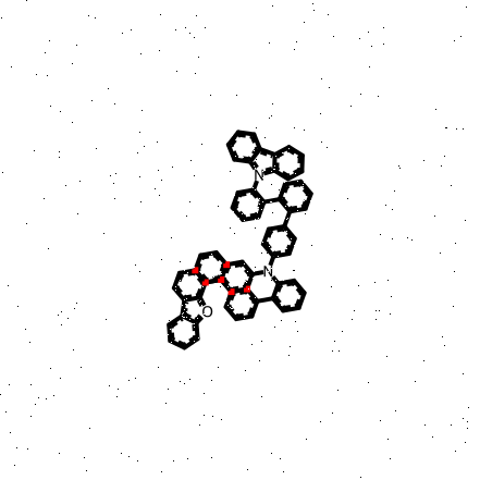 c1ccc(-c2cccc(-c3ccccc3N(c3ccc(-c4ccccc4-c4ccccc4-n4c5ccccc5c5ccccc54)cc3)c3ccc(-c4cccc5c4oc4ccccc45)cc3)c2)cc1